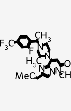 COCc1cn2c(n1)c(N1CCN(C(C)c3ccc(C(F)(F)F)cc3F)CC1C)cc(=O)n2C